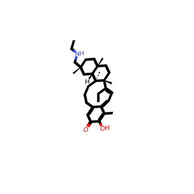 CCNC[C@]1(C)CC[C@]2(C)CC[C@]3(C)/C(CC)=C/C=C4\C(=CC(=O)C(O)=C4C)CCC[C@@]3(C)[C@@H]2C1